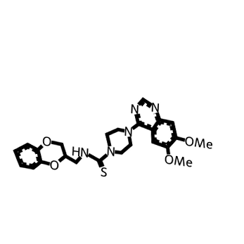 COc1cc2ncnc(N3CCN(C(=S)NCC4COc5ccccc5O4)CC3)c2cc1OC